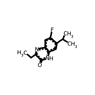 CCc1nc2cc(F)c(C(C)C)cc2[nH]c1=O